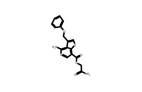 NC(=O)COC(=O)c1cnc(N)c2c(COc3ccccc3)csc12